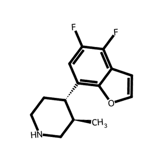 C[C@H]1CNCC[C@@H]1c1cc(F)c(F)c2ccoc12